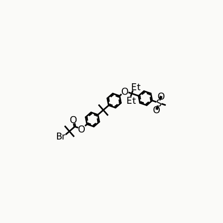 CCC(CC)(Oc1ccc(C(C)(C)c2ccc(OC(=O)C(C)(C)Br)cc2)cc1)c1ccc(S(C)(=O)=O)cc1